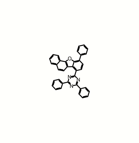 c1ccc(-c2nc(-c3ccccc3)nc(-c3ccc(-c4ccccc4)c4oc5c6ccccc6ccc5c34)n2)cc1